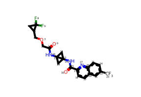 O=C(COCC1CC1(F)F)NC12CC1(NC(=O)c1ccc3cc(C(F)(F)F)ccc3n1)C2